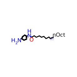 CCCCCCCC/C=C\CCCCCCCC(=O)Nc1ccc(N)cc1